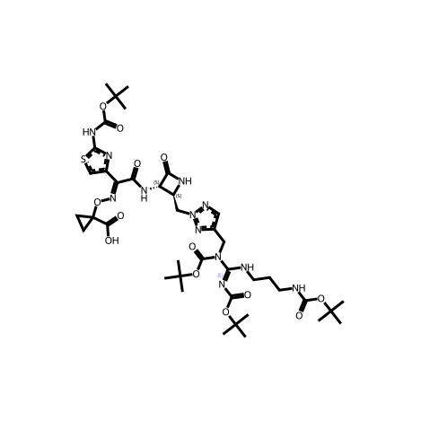 CC(C)(C)OC(=O)/N=C(\NCCCNC(=O)OC(C)(C)C)N(Cc1cnn(C[C@@H]2NC(=O)[C@H]2NC(=O)C(=NOC2(C(=O)O)CC2)c2csc(NC(=O)OC(C)(C)C)n2)n1)C(=O)OC(C)(C)C